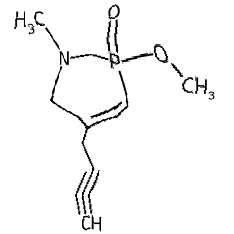 C#CC1=CP(=O)(OC)N(C)C1